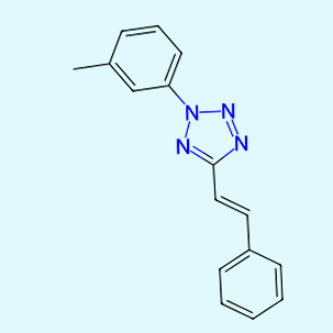 Cc1cccc(-n2nnc(/C=C/c3ccccc3)n2)c1